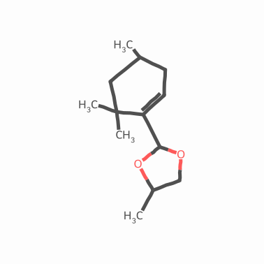 CC1CC=C(C2OCC(C)O2)C(C)(C)C1